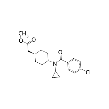 COC(=O)C[C@H]1CC[C@H](N(C(=O)c2ccc(Cl)cc2)C2CC2)CC1